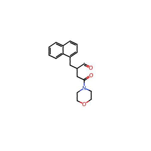 O=[C]C(CC(=O)N1CCOCC1)Cc1cccc2ccccc12